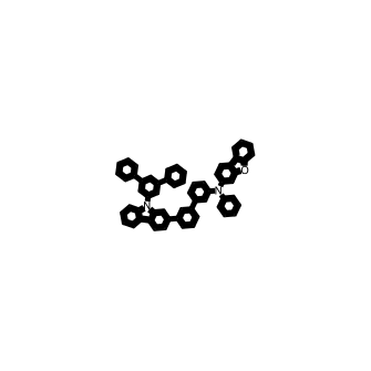 c1ccc(-c2cc(-c3ccccc3)cc(-n3c4ccccc4c4ccc(-c5cccc(-c6cccc(N(c7ccccc7)c7ccc8c(c7)oc7ccccc78)c6)c5)cc43)c2)cc1